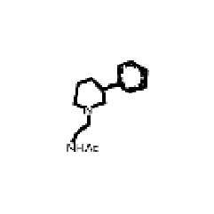 CC(=O)NCCN1CCCC(c2ccccc2)C1